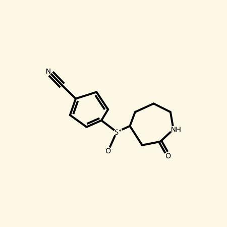 N#Cc1ccc([S+]([O-])C2CCCNC(=O)C2)cc1